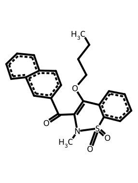 CCCCOC1=C(C(=O)c2ccc3ccccc3c2)N(C)S(=O)(=O)c2ccccc21